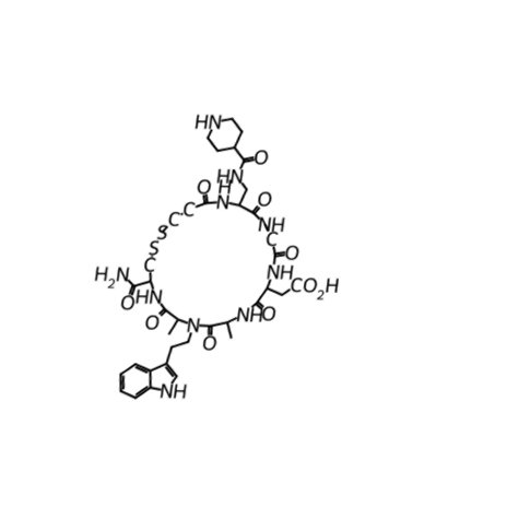 CC1NC(=O)C(CC(=O)O)NC(=O)CNC(=O)C(CNC(=O)C2CCNCC2)NC(=O)CCSSCC(C(N)=O)NC(=O)C(C)N(CCc2c[nH]c3ccccc23)C1=O